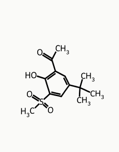 CC(=O)c1cc(C(C)(C)C)cc(S(C)(=O)=O)c1O